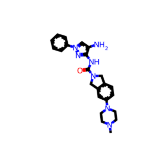 CN1CCN(c2ccc3c(c2)CN(C(=O)Nc2nn(-c4ccccc4)cc2N)C3)CC1